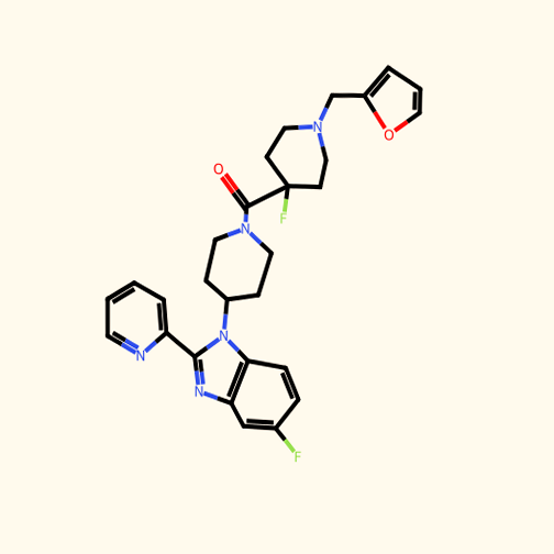 O=C(N1CCC(n2c(-c3ccccn3)nc3cc(F)ccc32)CC1)C1(F)CCN(Cc2ccco2)CC1